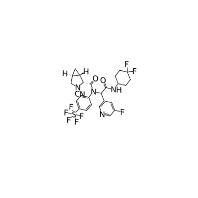 N#CN1C[C@H]2C[C@@H]2[C@@H]1C(=O)N(c1ccc(S(F)(F)(F)(F)F)cc1)C(C(=O)NC1CCC(F)(F)CC1)c1cncc(F)c1